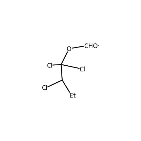 CCC(Cl)C(Cl)(Cl)O[C]=O